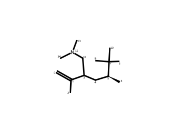 C=C(C)C(C[C@H](C)C(C)(C)C)CN(C)C